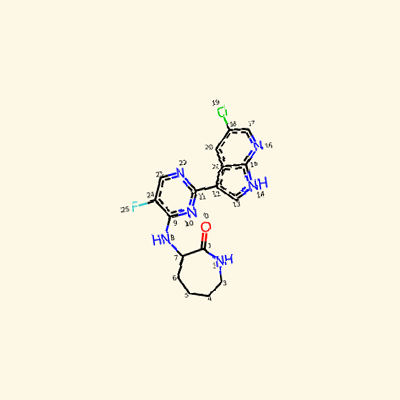 O=C1NCCCCC1Nc1nc(-c2c[nH]c3ncc(Cl)cc23)ncc1F